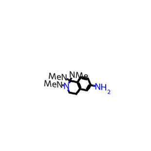 CNN1CCc2cc(N)ccc2C1(NC)NC